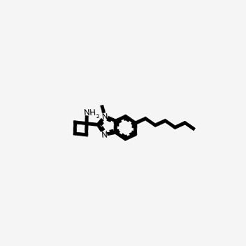 CCCCCCc1ccc2nc(C3(N)CCC3)n(C)c2c1